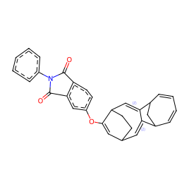 O=C1c2ccc(OC3=CC4/C=C5\C(=C/C3CC4)C3C=CC=CC5C3)cc2C(=O)N1c1ccccc1